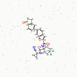 N#CC1(NC(=O)C2(NC(=O)c3cc4ccc(-c5ccc6c(c5)CC[S+]6[O-])cc4o3)CCC(F)(F)CC2)CC1